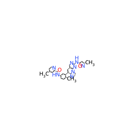 Cc1ccnc(C(=O)Nc2ccc(C)c(C3=Cc4cnc(Nc5cc(C)no5)nc4N4CCN=C34)c2)c1